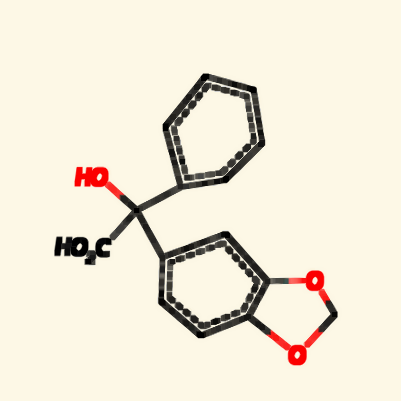 O=C(O)C(O)(c1ccccc1)c1ccc2c(c1)OCO2